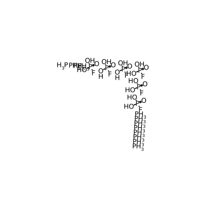 O=P(O)(O)F.O=P(O)(O)F.O=P(O)(O)F.O=P(O)(O)F.O=P(O)(O)F.O=P(O)(O)F.P.P.P.P.P.P.P.P.P.P.P.P